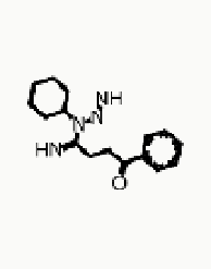 N=NN(C(=N)CCC(=O)c1ccccc1)C1CCCCC1